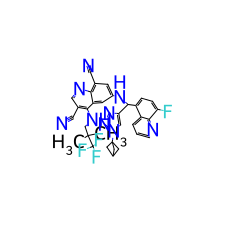 CC(C)(CNc1c(C#N)cnc2c(C#N)cc(NC(c3cn(C45CC(C4)C5)nn3)c3ccc(F)c4ncccc34)cc12)C(F)(F)F